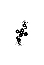 CC(C)(C)c1ccc2c(c1)CCN2c1ccc2c(-c3ccccc3)c3cc(N4CCc5cc(C(C)(C)C)ccc54)ccc3c(-c3ccccc3)c2c1